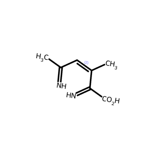 CC(=N)/C=C(/C)C(=N)C(=O)O